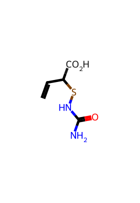 C=CC(SNC(N)=O)C(=O)O